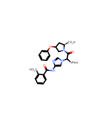 CCCCCC(C(=O)N1CC(Oc2ccccc2)C[C@H]1C(=O)O)n1cnc(NC(=O)c2ccccc2S(=O)(=O)O)c1